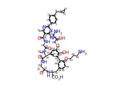 Cc1nc(-c2ccc(CC3CC3)cc2)nc(N)c1C(=O)NCC(=O)N(C)[C@@H]1C(=O)N[C@@H](C)C(=O)N[C@H](C(=O)O)Cc2ccc(OCCCN)c(c2)-c2cc1cc(OC[C@H](O)CN)c2O